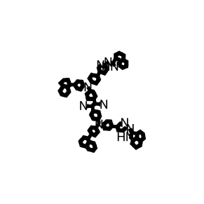 N#C/C(=C(/C#N)c1ccc(N(c2ccc(-c3ccc(/N=C4\Nc5cccc6cccc4c56)nc3)cc2)c2ccc(-c3cccc4ccccc34)cc2)cc1)c1ccc(N(c2ccc(-c3ccc(/N=C4\Nc5cccc6cccc4c56)nc3)cc2)c2ccc(-c3cccc4ccccc34)cc2)cc1